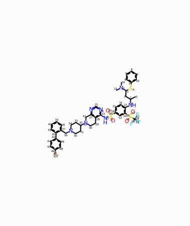 CC(CC(Sc1ccccc1)N(C)C)Nc1ccc(S(=O)(=O)Nc2ncnc3c2CCN(C2CCN(Cc4ccccc4-c4ccc(Br)cc4)CC2)C3)cc1S(=O)(=O)C(F)(F)F